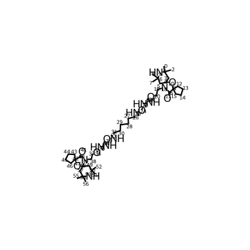 CC1(C)CC2(CC(C)(C)N1)OC1(CCCC1)C(=O)N2CCONNONCCCCCCNONNOCCN1C(=O)C2(CCCC2)OC12CC(C)(C)NC(C)(C)C2